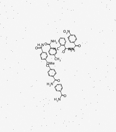 COc1ccc(C(N)=O)cc1.Cc1ccc(C(N)=O)cc1.Cc1ccccc1C(N)=O.NC(=O)c1ccc(Cl)cc1.NC(=O)c1ccc([N+](=O)[O-])cc1.NC(=O)c1ccccc1